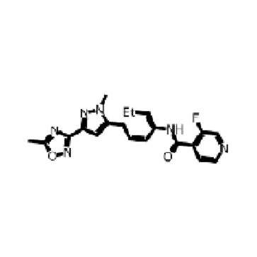 CC/C=C(\C=C/Cc1cc(-c2noc(C)n2)nn1C)NC(=O)c1ccncc1F